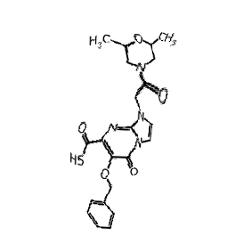 CC1CN(C(=O)Cn2ccn3c(=O)c(OCc4ccccc4)c(C(=O)S)nc23)CC(C)O1